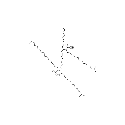 CC(C)CCCCCCCCCCCCCCCC(CCCCCCCCCCCCCC(C)C)C(=O)O.CCCCCCCCCC(CCCCCCCC)C(CCCCCCCCCCCCCC(C)C)C(=O)O